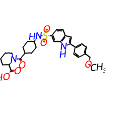 COCc1ccc(-c2cc3ccc(S(=O)(=O)NC4CCC(C(=O)N5CCCCC5C(=O)O)CC4)cc3[nH]2)cc1